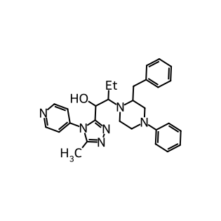 CCC(C(O)c1nnc(C)n1-c1ccncc1)N1CCN(c2ccccc2)CC1Cc1ccccc1